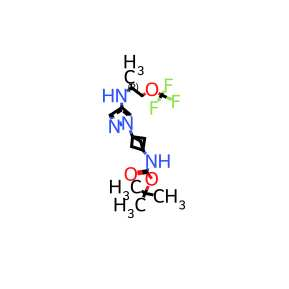 C[C@H](COC(F)(F)F)Nc1cnn(C23CC(NC(=O)OC(C)(C)C)(C2)C3)c1